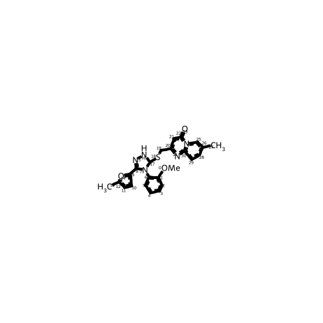 COc1ccccc1N1C(c2ccc(C)o2)=NNC1SCc1cc(=O)n2cc(C)ccc2n1